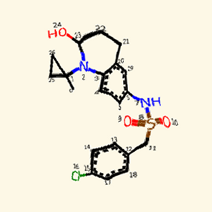 CC1(N2c3ccc(NS(=O)(=O)Cc4ccc(Cl)cc4)cc3CCC2O)CC1